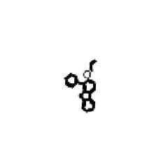 C=CCOc1ccc2c(c1-c1ccccc1)Cc1ccccc1-2